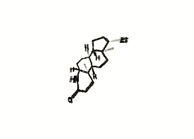 CC[C@H]1CC[C@H]2[C@@H]3CC[C@H]4NC(=O)C=C[C@]4(C)[C@H]3CC[C@]12C